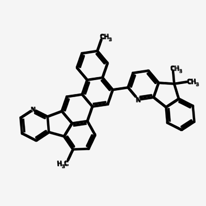 Cc1ccc2c(c1)c(-c1ccc3c(n1)-c1ccccc1C3(C)C)cc1c3ccc(C)c4c3c(cc21)-c1ncccc1-4